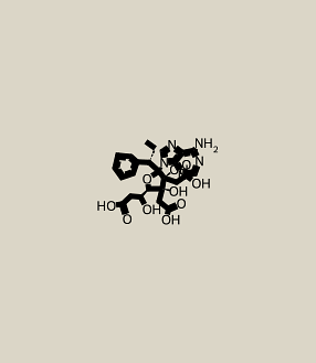 CC[C@@H](c1ccccc1)[C@@]1(n2cnc3c(N)ncnc32)O[C@H](C(O)CC(=O)O)[C@](O)(CC(=O)O)[C@]1(O)CC(=O)O